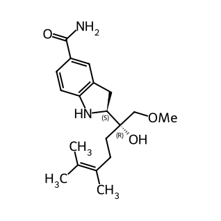 COC[C@@](O)(CCC(C)=C(C)C)[C@@H]1Cc2cc(C(N)=O)ccc2N1